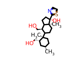 C[C@H]1CC[C@](C)(C2CC[C@@]3(C)C(CC[C@@]3(O)c3nccs3)[C@@H]2CO)[C@@H](CO)C1